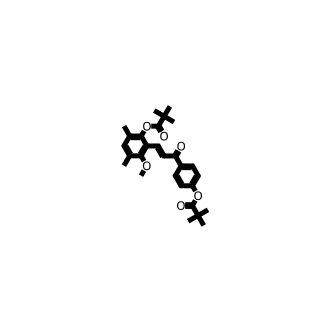 COc1c(C)cc(C)c(OC(=O)C(C)(C)C)c1/C=C/C(=O)c1ccc(OC(=O)C(C)(C)C)cc1